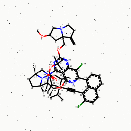 C=C1CCN2CC(OC)CC12COc1nc2c3c(nc(-c4cccc5ccc(F)c(C#C[Si](C(C)C)(C(C)C)C(C)C)c45)c(F)c3n1)O[C@@H](C)[C@@H]1[C@@H]3CC[C@H](CN21)N3C(=O)OC(C)(C)C